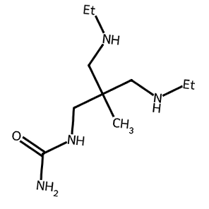 CCNCC(C)(CNCC)CNC(N)=O